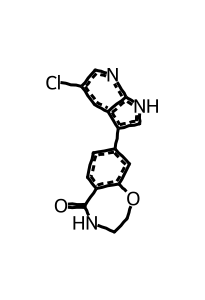 O=C1NCCOc2cc(-c3c[nH]c4ncc(Cl)cc34)ccc21